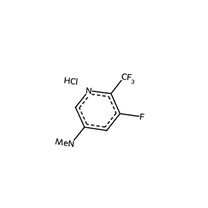 CNc1cnc(C(F)(F)F)c(F)c1.Cl